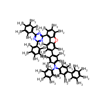 Bc1c(B)c(B)c(-c2nc(-c3c(B)c(B)c(B)c(B)c3B)nc(-c3c(B)c(B)c(B)c4oc5c(B)c(-c6c(B)c(B)c(N(c7c(B)c(B)c(B)c(B)c7B)c7c(B)c(B)c(-c8c(B)c(B)c(B)c(B)c8B)c(B)c7B)c(B)c6B)c(B)c(B)c5c34)n2)c(B)c1B